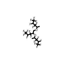 CC(OCC(OC(C)C(F)(F)C(F)C(F)(F)F)C(F)(F)C(F)C(F)(F)F)C(F)(F)C(F)C(F)(F)F